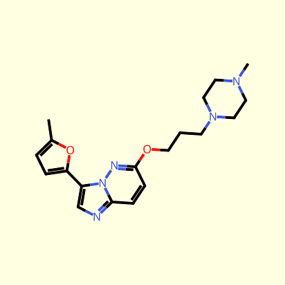 Cc1ccc(-c2cnc3ccc(OCCCN4CCN(C)CC4)nn23)o1